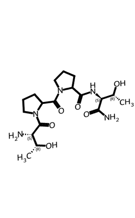 C[C@@H](O)[C@H](N)C(=O)N1CCCC1C(=O)N1CCCC1C(=O)N[C@H](C(N)=O)[C@@H](C)O